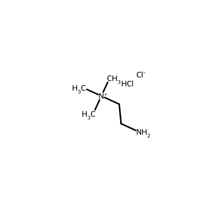 C[N+](C)(C)CCN.Cl.[Cl-]